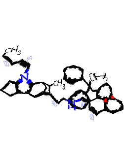 C/C=C\C=C/n1c2c(c3c1C1CC(=C3)/C(=C/CN/C=C(\C=C/c3ccccc3)c3ccccc3C(C)(c3ccccc3)c3ccccc3)C1C)CC=C2